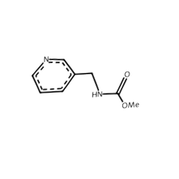 COC(=O)NCc1cccnc1